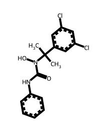 CC(C)(c1cc(Cl)cc(Cl)c1)N(O)C(=O)Nc1ccccc1